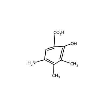 Cc1c(N)cc(C(=O)O)c(O)c1C